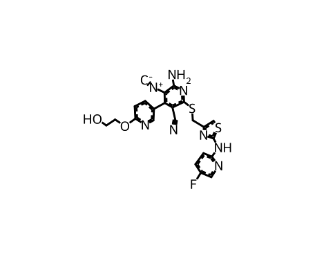 [C-]#[N+]c1c(N)nc(SCc2csc(Nc3ccc(F)cn3)n2)c(C#N)c1-c1ccc(OCCO)nc1